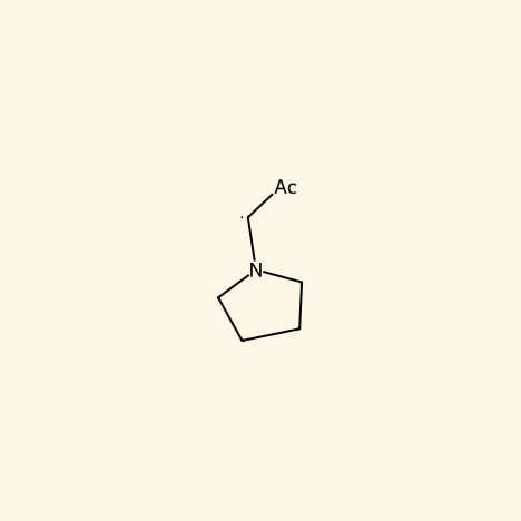 CC(=O)[CH]N1CCCC1